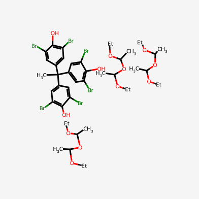 CC(c1cc(Br)c(O)c(Br)c1)(c1cc(Br)c(O)c(Br)c1)c1cc(Br)c(O)c(Br)c1.CCOC(C)OC(C)OCC.CCOC(C)OC(C)OCC.CCOC(C)OC(C)OCC